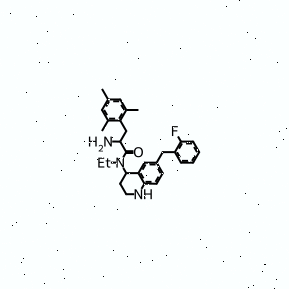 CCN(C(=O)C(N)Cc1c(C)cc(C)cc1C)C1CCNc2ccc(Cc3ccccc3F)cc21